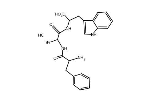 CC(C)C(NC(=O)C(N)Cc1ccccc1)C(=O)NC(Cc1c[nH]c2ccccc12)C(=O)O.Cl